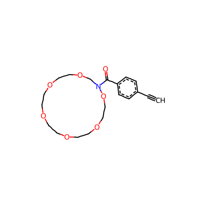 C#Cc1ccc(C(=O)N2COCCOCCOCCOCCOCCO2)cc1